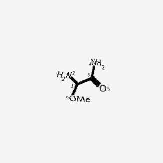 COC(N)C(N)=O